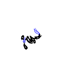 N#Cc1cccc(-c2ccc(-c3ccc(-c4nc(-c5ccccc5)nc(-c5ccccc5)n4)cc3)c3ccccc23)c1